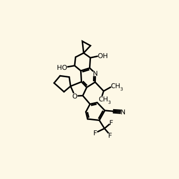 CC(C)c1nc2c(c3c1C(c1ccc(C(F)(F)F)c(C#N)c1)OC31CCCC1)C(O)CC1(CC1)C2O